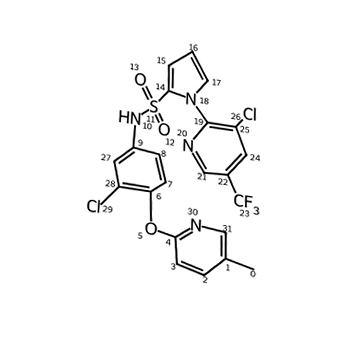 Cc1ccc(Oc2ccc(NS(=O)(=O)c3cccn3-c3ncc(C(F)(F)F)cc3Cl)cc2Cl)nc1